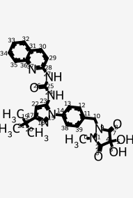 CN1C(=O)C(O)(O)C(=O)N1Cc1ccc(-n2nc(C(C)(C)C)cc2NC(=O)Nc2ccc3ccccc3n2)cc1